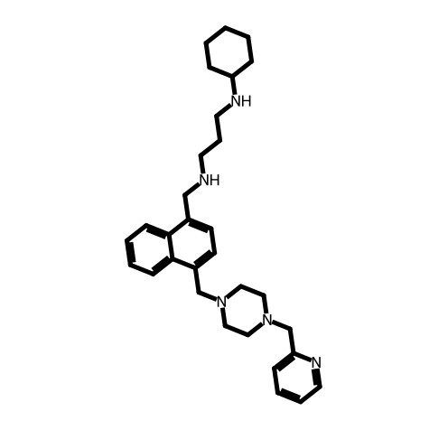 c1ccc(CN2CCN(Cc3ccc(CNCCCNC4CCCCC4)c4ccccc34)CC2)nc1